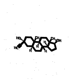 C#C[C@@]1(O)CC[C@@]2(C)[C@@H](CC[C@@H]3[C@@H]2CC[C@]2(C)[C@@H](O)CC[C@@H]32)C1